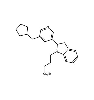 CCOC(=O)CCCN1c2ccccc2CC1c1cncc(SC2CCCC2)c1